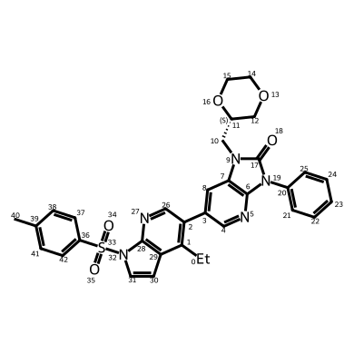 CCc1c(-c2cnc3c(c2)n(C[C@H]2COCCO2)c(=O)n3-c2ccccc2)cnc2c1ccn2S(=O)(=O)c1ccc(C)cc1